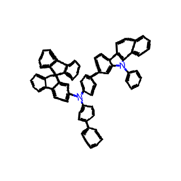 c1ccc(-c2ccc(N(c3ccc(-c4ccc5c6ccc7ccccc7c6n(-c6ccccc6)c5c4)cc3)c3ccc4c(c3)C3(c5ccccc5-c5ccccc53)c3ccccc3-4)cc2)cc1